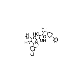 CN/C=C\C(=N)C1c2ccc(Cl)cc2CCN1C(=O)[C@H](O)[C@@H](O)C(=O)N[C@H](C)c1ccc(-n2cccn2)cc1